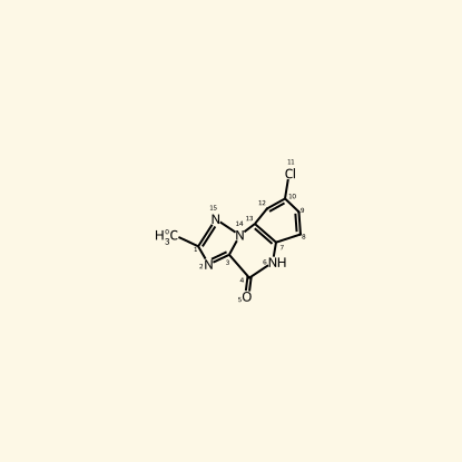 Cc1nc2c(=O)[nH]c3ccc(Cl)cc3n2n1